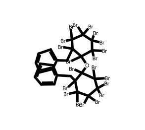 BrC1(Br)C(Br)(Br)C(Br)(Br)C(Br)(OC2(Br)C(Br)(Br)C(Br)(Br)C(Br)(Br)C(Br)(Br)C2(Br)Cc2ccccc2)C(Br)(Cc2ccccc2)C1(Br)Br